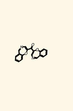 O=C(C1=CN=Cc2ccccc2O1)C1=CN=Cc2ccccc2O1